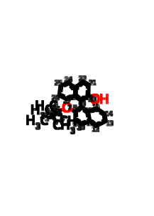 CC(C)(C)[Si](C)(C)Oc1ccc2ccccc2c1-c1c(O)ccc2ccccc12